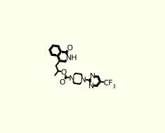 CC(Cc1c[nH]c(=O)c2ccccc12)OC(=O)N1CCN(c2ncc(C(F)(F)F)cn2)CC1